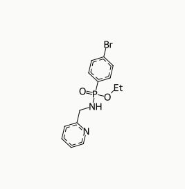 CCOP(=O)(NCc1ccccn1)c1ccc(Br)cc1